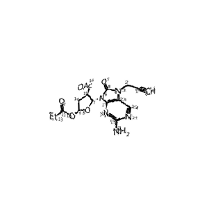 C#CCn1c(=O)n([C@@H]2O[C@@H](OC(=O)CC)C[C@H]2OC(C)=O)c2nc(N)ncc21